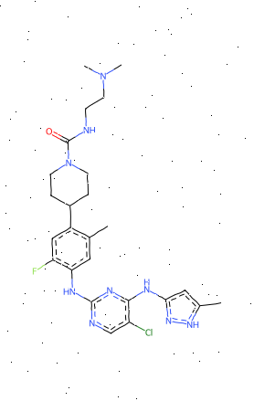 Cc1cc(Nc2nc(Nc3cc(C)c(C4CCN(C(=O)NCCN(C)C)CC4)cc3F)ncc2Cl)n[nH]1